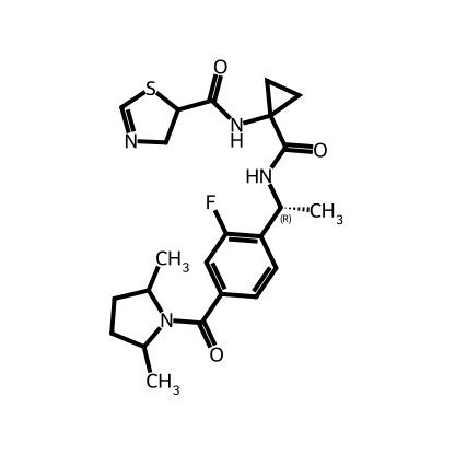 CC1CCC(C)N1C(=O)c1ccc([C@@H](C)NC(=O)C2(NC(=O)C3CN=CS3)CC2)c(F)c1